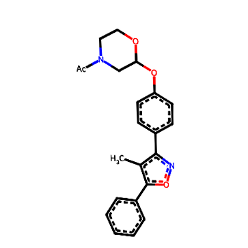 CC(=O)N1CCOC(Oc2ccc(-c3noc(-c4ccccc4)c3C)cc2)C1